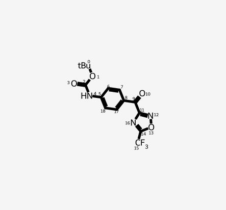 CC(C)(C)OC(=O)Nc1ccc(C(=O)c2noc(C(F)(F)F)n2)cc1